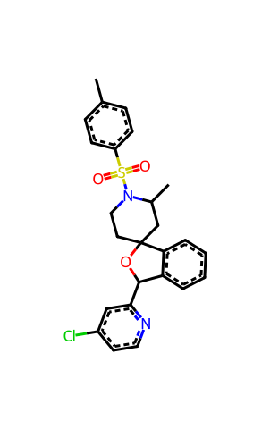 Cc1ccc(S(=O)(=O)N2CCC3(CC2C)OC(c2cc(Cl)ccn2)c2ccccc23)cc1